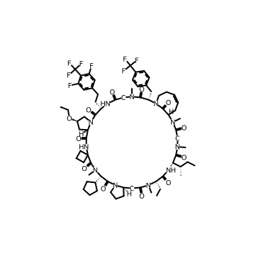 CCO[C@@H]1C[C@H]2C(=O)NC3(CCC3)C(=O)N(C)[C@@H](C3CCCC3)C(=O)N3CCC[C@@H]3CC(=O)N(C)[C@@H](CC)C(=O)N[C@@H]([C@@H](C)CC)C(=O)N(C)CC(=O)N(C)[C@H]3C/C=C\CCN(C3=O)[C@@H](Cc3ccc(C(F)(F)F)cc3)C(=O)N(C)CC(=O)N[C@@H](CCc3cc(F)c(C(F)(F)F)c(F)c3)C(=O)N2C1